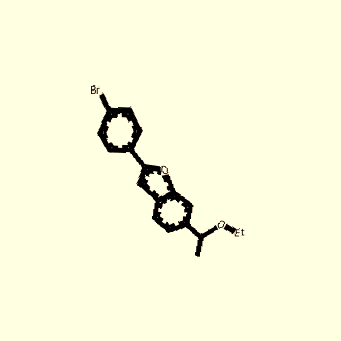 CCOC(C)c1ccc2cc(-c3ccc(Br)cc3)oc2c1